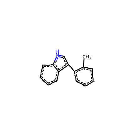 Cc1c[c]ccc1-c1c[nH]c2ccccc12